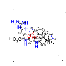 CN1CC23Cc4ccc(C(N)=O)c(O)c4[C@]4(C[C@H](NC(CC(=O)N[C@@H](CCCNC(=N)N)C(=O)O)C(=O)O)CC[C@H]4[C@H]12)C3